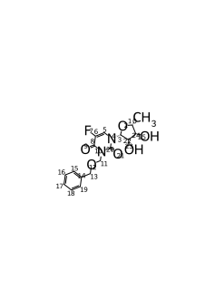 C[C@H]1O[C@@H](n2cc(F)c(=O)n(COCc3ccccc3)c2=O)[C@H](O)[C@@H]1O